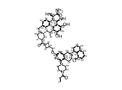 C=CC(=O)N1CCN(c2nc(OCC3CN(C(=O)C4CCN(Cc5ccc(N(C(=N)C(N)=O)C(=N)c6cc(C(C)C)c(O)cc6O)cc5)CC4)C3)nc3c2CCN(c2cccc4cccc(Cl)c24)C3)CC1